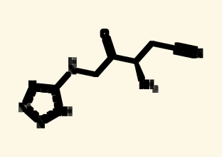 N#CC[C@@H](N)C(=O)CNc1nnn[nH]1